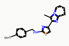 COc1ccc(CNc2nc(-c3nc4ccccn4c3C)cs2)cc1